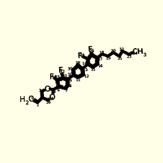 C=CC1COC(c2ccc(-c3ccc(-c4ccc(CCCCCCC)c(F)c4F)cc3)c(F)c2F)OC1